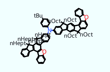 CCCCCCCCC1(CCCCCCCC)c2cc(N(c3ccc(C(C)(C)C)cc3)c3ccc4c(c3)C(CCCCCCC)(CCCCCCC)c3c5c(c6c(oc7ccccc76)c3-4)-c3ccccc3C5(CCCCCCC)CCCCCCC)ccc2-c2cc3c(cc21)-c1c(ccc2oc4ccccc4c12)C3(CCCCCCCC)CCCCCCCC